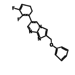 FC1=CCCC(c2cnc3nc(COc4ccccc4)cn3c2)=C1F